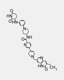 CCc1cc2ncc(CN3CC=C(c4ccc(C(=O)NC5CCN(c6cccc(NC7CCC(=O)NC7=O)c6)CC5)nc4)CC3)cc2[nH]c1=O